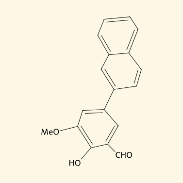 COc1cc(-c2ccc3ccccc3c2)cc(C=O)c1O